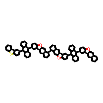 c1ccc2cc3c(cc2c1)oc1ccc(-c2c4ccccc4c(-c4ccc5oc6cc7c(-c8cccc9cc%10c(cc89)oc8ccc(-c9c%11ccccc%11c(-c%11ccc%12sc%13ccccc%13c%12c%11)c%11ccccc9%11)cc8%10)cccc7cc6c5c4)c4ccccc24)cc13